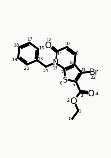 CCOC(=O)c1sc2c(ccc(=O)n2Cc2ccccc2)c1Br